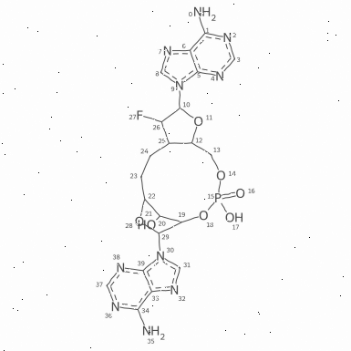 Nc1ncnc2c1ncn2C1OC2COP(=O)(O)OC3C(O)C(CCC2C1F)OC3n1cnc2c(N)ncnc21